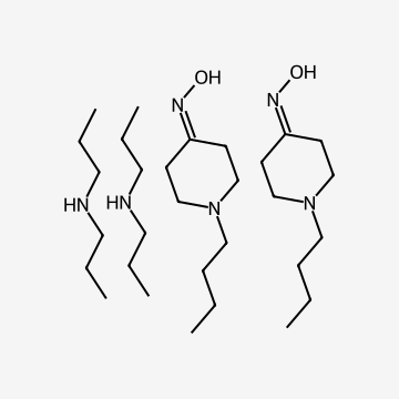 CCCCN1CCC(=NO)CC1.CCCCN1CCC(=NO)CC1.CCCNCCC.CCCNCCC